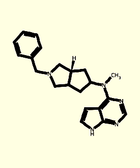 CN(c1ncnc2[nH]ccc12)C1CC2CN(Cc3ccccc3)C[C@@H]2C1